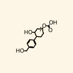 O=C(O)ON1CCC(c2ccc(CO)cc2)C(O)C1